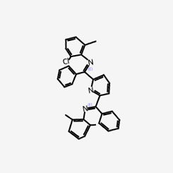 Cc1cccc(C)c1/N=C(\c1ccccc1)c1cccc(/C(=N/c2c(C)cccc2Cl)c2ccccc2)n1